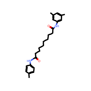 [CH2]c1ccc(NC(=O)CCCCCCCCC(=O)Nc2cc(C)cc(C)c2)cc1